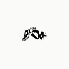 Cl.O=c1cc(-c2ccc(C(F)(F)F)cc2)ccn1-c1cnc2c(n1)=C1NNCC1CC=2